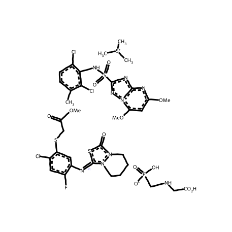 COC(=O)CSc1cc(/N=c2\sc(=O)n3n2CCCC3)c(F)cc1Cl.COc1cc(OC)n2nc(S(=O)(=O)Nc3c(Cl)ccc(C)c3Cl)nc2n1.C[S+](C)C.O=C(O)CNCP(=O)([O-])O